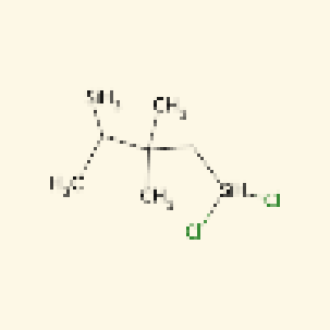 CC([SiH3])C(C)(C)C[SiH](Cl)Cl